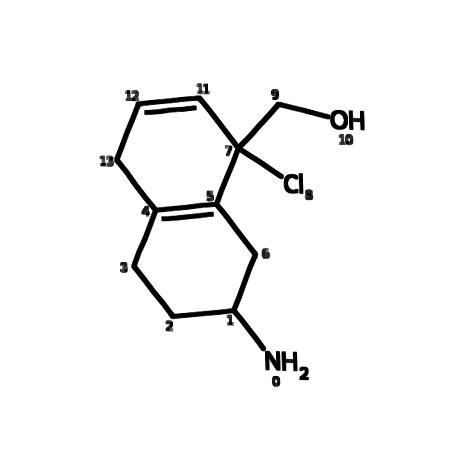 NC1CCC2=C(C1)C(Cl)(CO)C=CC2